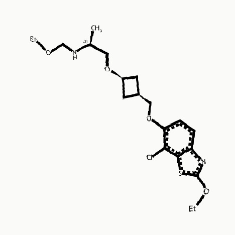 CCOCN[C@@H](C)CO[C@H]1C[C@@H](COc2ccc3nc(OCC)sc3c2Cl)C1